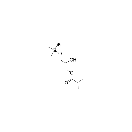 C=C(C)C(=O)OCC(O)CO[Si](C)(C)C(C)C